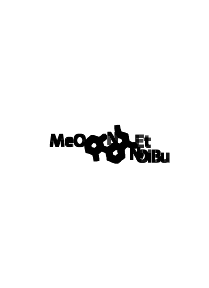 CCC(=NOCC(C)C)c1cc(C)nc2c(-c3c(C)cc(OC)cc3C)cccc12